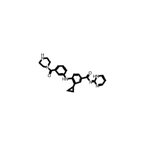 O=C(N=c1nccc[nH]1)c1ccc(Nc2cccc(C(=O)N3CCNCC3)c2)c(C2CC2)c1